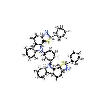 c1ccc(-c2nc3ccc4c5ccccc5n(-c5cccc(-n6c7ccccc7c7ccc8nc(-c9ccccc9)sc8c76)c5)c4c3s2)cc1